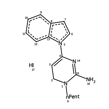 CCCCCN1CC=C(n2ccc3ccccc32)N=C1N.I